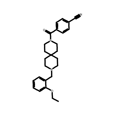 CCOc1ccccc1CN1CCC2(CC1)CCN(C(=O)c1ccc(C#N)cc1)CC2